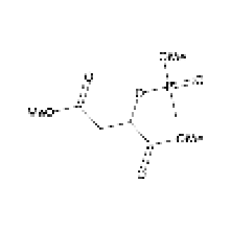 COC(=O)CC(OP(C)(=O)OC)C(=O)OC